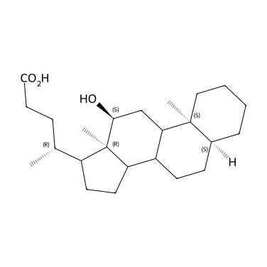 C[C@H](CCC(=O)O)C1CCC2C3CC[C@@H]4CCCC[C@]4(C)C3C[C@H](O)[C@@]21C